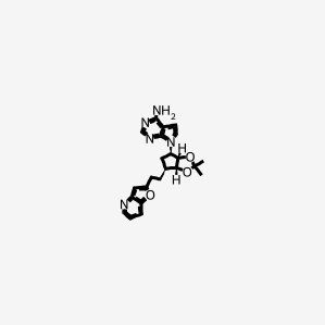 CC1(C)O[C@@H]2[C@@H](CCc3cc4ncccc4o3)C[C@@H](n3ccc4c(N)ncnc43)[C@@H]2O1